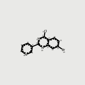 Clc1nc(-c2cccnc2)nc2cc(Br)ccc12